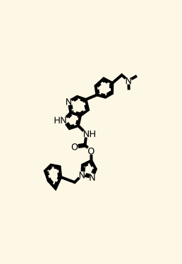 CN(C)Cc1ccc(-c2cnc3[nH]cc(NC(=O)Oc4cnn(Cc5ccccc5)c4)c3c2)cc1